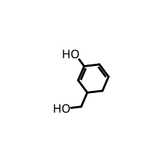 OCC1C=C(O)C=CC1